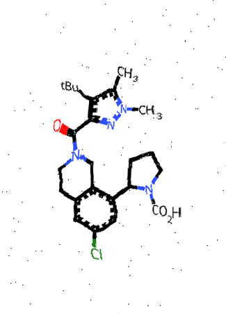 Cc1c(C(C)(C)C)c(C(=O)N2CCc3cc(Cl)cc(C4CCCN4C(=O)O)c3C2)nn1C